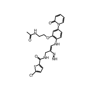 CC(=O)NCCOc1cc(-n2ccccc2=O)ccc1N/C=C(/CNC(=O)c1ccc(Cl)s1)N=N